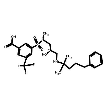 CN(C[C@H](O)CNC(C)(C)CCCc1ccccc1)S(=O)(=O)c1cc(C(=O)O)cc(C(F)(F)F)c1